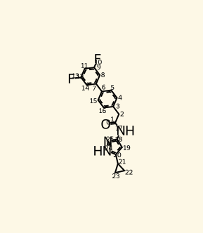 O=C(Cc1ccc(-c2cc(F)cc(F)c2)cc1)Nc1cc(C2CC2)[nH]n1